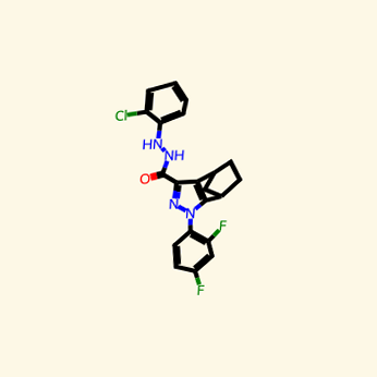 O=C(NNc1ccccc1Cl)c1nn(-c2ccc(F)cc2F)c2c1C1CCC2C1